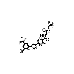 Cc1nc(C2=NOC(c3cc(C(F)(F)F)cc(Br)c3F)C2)cnc1C(=O)NCC(=O)NCC(F)(F)F